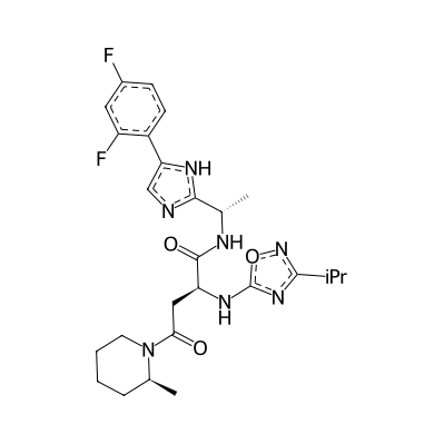 CC(C)c1noc(N[C@@H](CC(=O)N2CCCC[C@@H]2C)C(=O)N[C@@H](C)c2ncc(-c3ccc(F)cc3F)[nH]2)n1